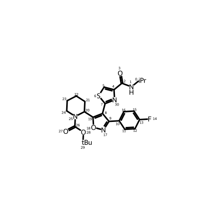 CC(C)NC(=O)c1csc(-c2c(-c3ccc(F)cc3)noc2C2CCCCN2C(=O)OC(C)(C)C)n1